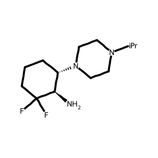 CC(C)N1CCN([C@H]2CCCC(F)(F)[C@@H]2N)CC1